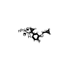 CCCS(=O)(=O)NC1(c2ccc(F)c(OCC3CC3)c2)CC1